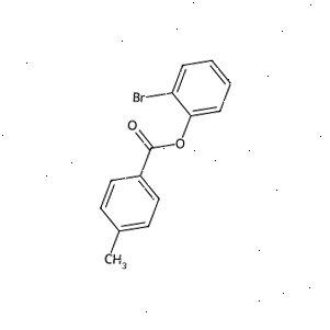 Cc1ccc(C(=O)Oc2ccccc2Br)cc1